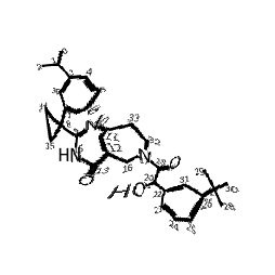 CC(C)c1cccc(C2(c3nc4c(c(=O)[nH]3)CN(C(=O)C(O)c3cccc(C(C)(C)C)c3)CC4)CC2)c1